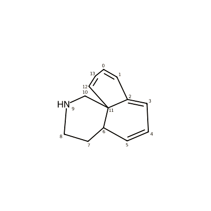 C1=CC2=CC=CC3CCNCC23C=C1